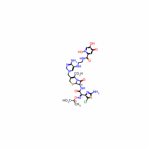 C[C@H](O/N=C(\C(=O)N[C@@H]1C(=O)N2C(C(=O)O)=C(CN3C=C(NCCNC(=O)c4cc(=O)c(O)cn4O)C(N)=NC3)CSC12)c1nc(N)sc1Cl)C(=O)O